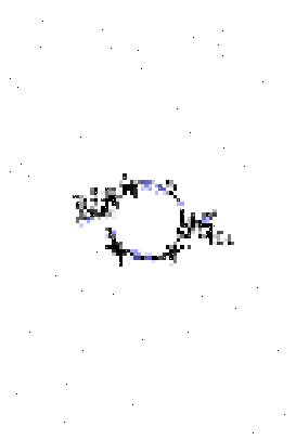 C/C=C/[C@H](O[Si](C)(C)C(C)(C)C)C(C)(C)[C@@H]1C/C=C\C2CC/C2=C\C=C/c2nc(cs2)C(=O)O[C@H](C(C)(C)[C@H](/C=C/C)O[Si](C)(C)C(C)(C)C)C/C=C\[C@H]2C[C@H]2/C=C/C=C\c2nc(cs2)C(=O)O1